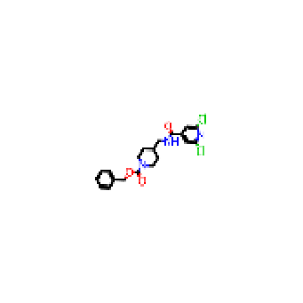 O=C(NCC1CCN(C(=O)OCc2ccccc2)CC1)c1cc(Cl)nc(Cl)c1